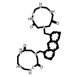 O=C1CNCNCCNC(=O)CN(Cc2cccc3cc4cccc(CN5CC(=O)CNCNCCNC(=O)C5)c4cc23)C1